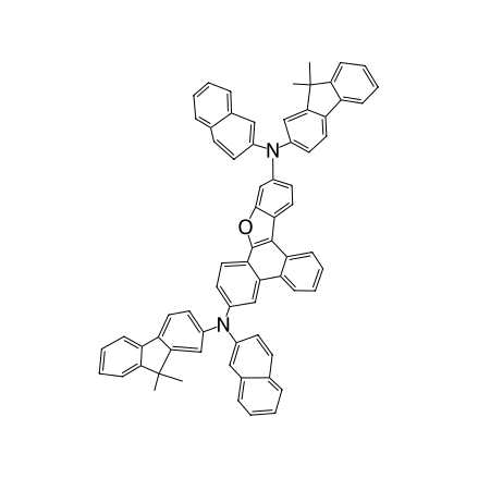 CC1(C)c2ccccc2-c2ccc(N(c3ccc4ccccc4c3)c3ccc4c(c3)oc3c5ccc(N(c6ccc7c(c6)C(C)(C)c6ccccc6-7)c6ccc7ccccc7c6)cc5c5ccccc5c43)cc21